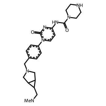 CNCC1C2CN(Cc3ccc(-n4ccc(NC(=O)N5CCNCC5)nc4=O)cc3)CC12